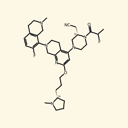 CC(F)C(=O)N1CCN(c2cc(OCCC[C@@H]3CCCN3C)nc3c2CCN(c2c(F)ccc4c2CN(C)CC4)C3)C[C@@H]1CC#N